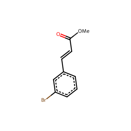 COC(=O)C=Cc1cccc(Br)c1